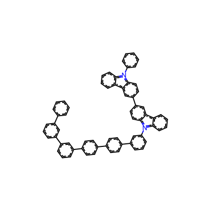 c1ccc(-c2cccc(-c3cccc(-c4ccc(-c5ccc(-c6cccc(-n7c8ccccc8c8cc(-c9ccc%10c(c9)c9ccccc9n%10-c9ccccc9)ccc87)c6)cc5)cc4)c3)c2)cc1